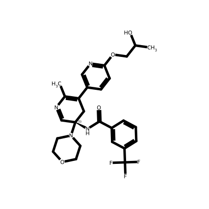 CC1=C(c2ccc(OCC(C)O)nc2)C[C@](NC(=O)c2cccc(C(F)(F)F)c2)(N2CCOCC2)C=N1